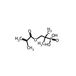 C=C(C)C(=O)OCC(C)(C)P(=O)(O)O